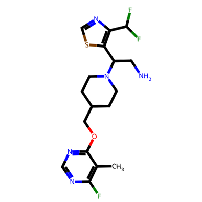 Cc1c(F)ncnc1OCC1CCN(C(CN)c2scnc2C(F)F)CC1